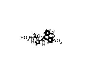 CC(C)C(NC(=O)O)C(=O)N1CCC[C@H]1c1ncc(-c2ccc([N+](=O)[O-])c(O[C@@H](C)c3ccccc3)c2)[nH]1